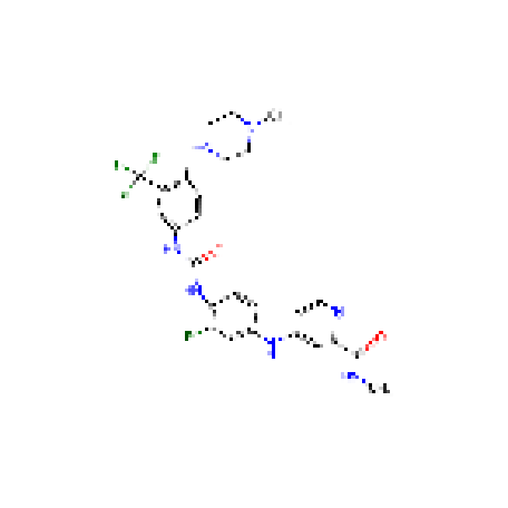 CNC(=O)c1cc(Nc2ccc(NC(=O)Nc3ccc(CN4CCN(C)CC4)c(C(F)(F)F)c3)c(F)c2)ccn1